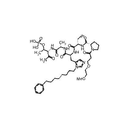 COCCOCCC(=O)N1CCC[C@H]1C(=O)N[C@@H](CC(C)C)C(=O)N[C@@H](Cc1cncn1CCCCCCCCc1ccccc1)C(=O)N[C@@H](C)C(=O)N[C@H](C(N)=O)[C@@H](C)OP(=O)(O)O